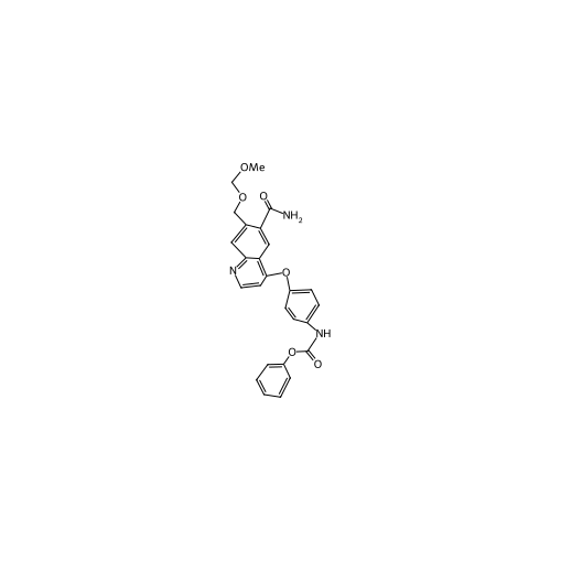 COCOCc1cc2nccc(Oc3ccc(NC(=O)Oc4ccccc4)cc3)c2cc1C(N)=O